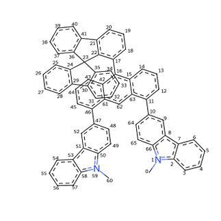 Cn1c2ccccc2c2cc(-c3cccc4c(-c5cccc6c5C5(c7ccccc7-c7ccccc75)c5ccccc5-6)c5cccc(-c6ccc7c(c6)c6ccccc6n7C)c5cc34)ccc21